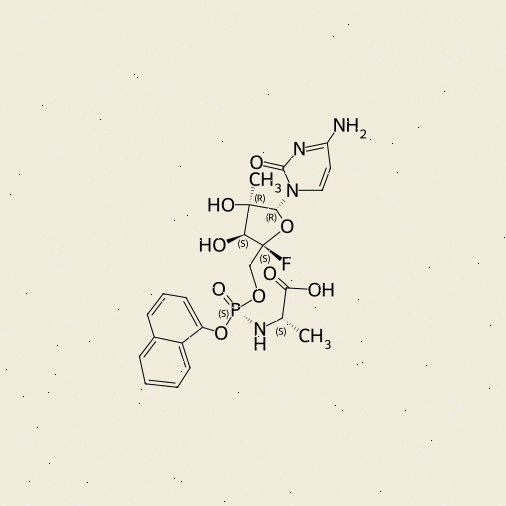 C[C@H](N[P@](=O)(OC[C@@]1(F)O[C@@H](n2ccc(N)nc2=O)[C@](C)(O)[C@@H]1O)Oc1cccc2ccccc12)C(=O)O